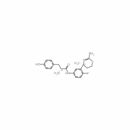 C[C@@]1(c2cc(NC(=O)[C@H](N)Cc3ccc(O)cc3)ccc2F)CCSC(N)=N1